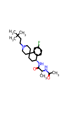 CC(=O)N[C@H](C)C(=O)N[C@H]1CCC2(CCN(CCC(C)(C)C)CC2)c2cc(F)ccc21